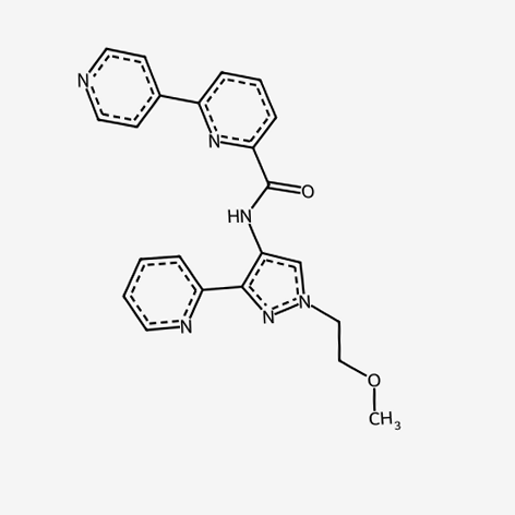 COCCn1cc(NC(=O)c2cccc(-c3ccncc3)n2)c(-c2ccccn2)n1